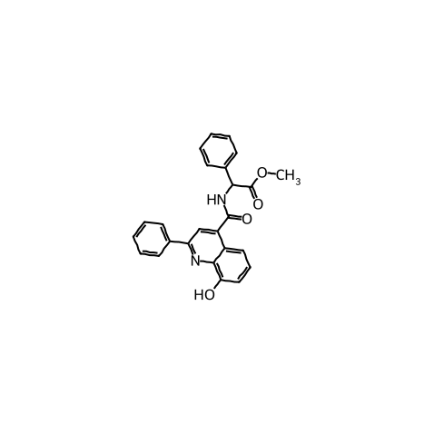 COC(=O)C(NC(=O)c1cc(-c2ccccc2)nc2c(O)cccc12)c1ccccc1